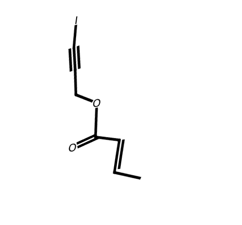 CC=CC(=O)OCC#CI